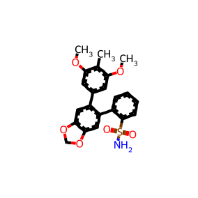 COc1cc(-c2cc3c(cc2-c2ccccc2S(N)(=O)=O)OCO3)cc(OC)c1C